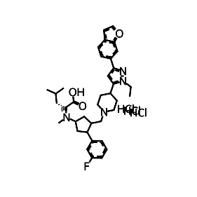 CCn1nc(-c2ccc3ccoc3c2)cc1C1CCN(CC2CC(N(C)[C@H](CC(C)C)C(=O)O)CC2c2cccc(F)c2)CC1.Cl.Cl.Cl